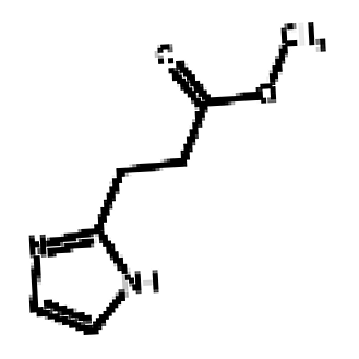 COC(=O)CCc1ncc[nH]1